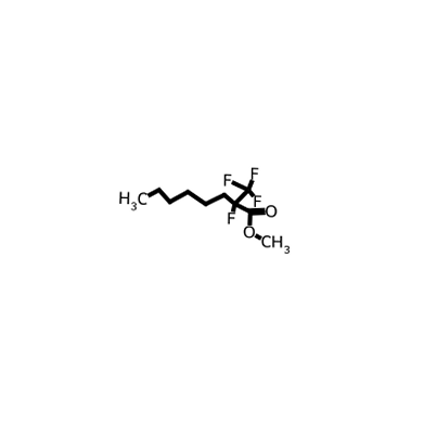 CCCCCCC(F)(C(=O)OC)C(F)(F)F